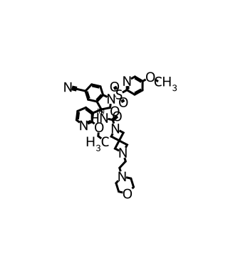 CCOc1ncccc1[C@@]1(NC(=O)N2CC3(CN(CCN4CCOCC4)C3)C2)C(=O)N(S(=O)(=O)c2ccc(OC)cn2)c2ccc(C#N)cc21